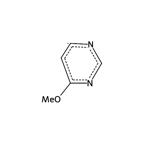 COc1c[c]ncn1